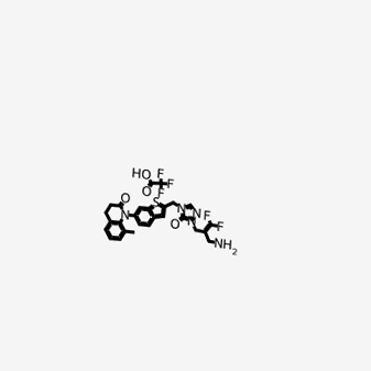 Cc1cccc2c1N(c1ccc3cc(Cn4cnn(CC(CN)=C(F)F)c4=O)sc3c1)C(=O)CC2.O=C(O)C(F)(F)F